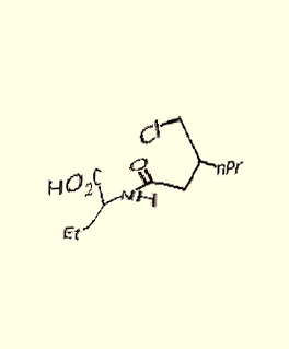 CCCC(CCl)CC(=O)NC(CC)C(=O)O